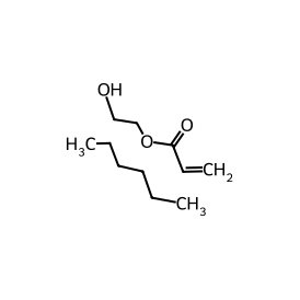 C=CC(=O)OCCO.CCCCCC